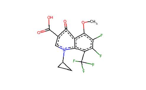 COc1c(F)c(F)c(C(F)(F)F)c2c1c(=O)c(C(=O)O)cn2C1CC1